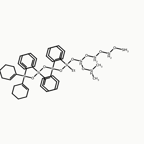 CC[Si](O[SiH](O[SiH2]O[SiH2]O[SiH3])O[SiH](C)C)(O[Si](O[Si](O[Si](C1=CCCCC1)(C1=CCCCC1)C1=CCCCC1)(C1=CCCCC1)C1=CCCCC1)(C1=CCCCC1)C1=CCCCC1)C1=CCCCC1